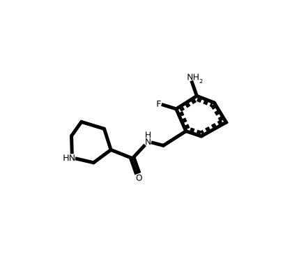 Nc1cccc(CNC(=O)C2CCCNC2)c1F